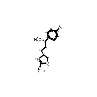 C[C@@H](CC[C@H]1COC(N)=N1)c1ccc(Cl)cc1